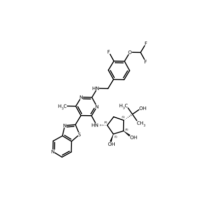 Cc1nc(NCc2ccc(OC(F)F)c(F)c2)nc(N[C@@H]2C[C@H](C(C)(C)O)[C@@H](O)[C@H]2O)c1-c1nc2cnccc2s1